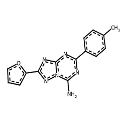 Cc1ccc(-c2nc(N)n3nc(-c4ccco4)nc3n2)cc1